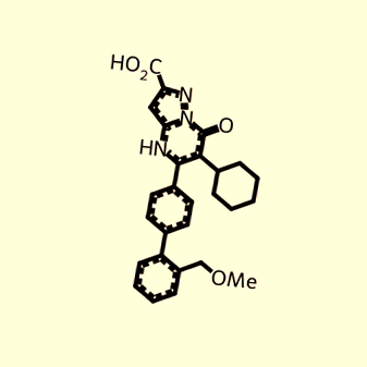 COCc1ccccc1-c1ccc(-c2[nH]c3cc(C(=O)O)nn3c(=O)c2C2CCCCC2)cc1